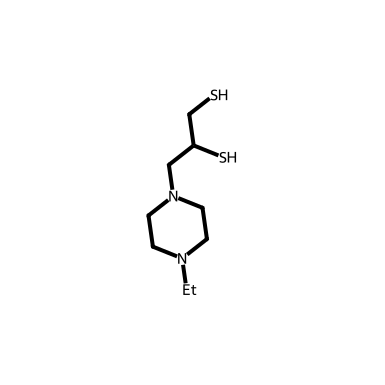 CCN1CCN(CC(S)CS)CC1